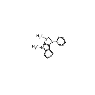 CN1CN(c2ccccc2)c2c1n(C)c1ccccc21